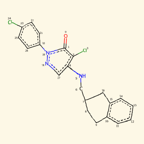 O=c1c(Cl)c(NCC2CCc3ccccc3C2)cnn1-c1ccc(Cl)cc1